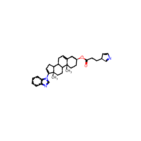 C[C@]12CC[C@H](OC(=O)CCC3C=CN=C3)CC1=CCC1C2CC[C@]2(C)C(n3cnc4ccccc43)=CCC12